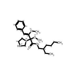 CCCCC(CC)COC(=O)C(OC)(C(=Cc1ccccc1)OC)N1CCNC1